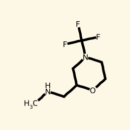 CNCC1CN(C(F)(F)F)CCO1